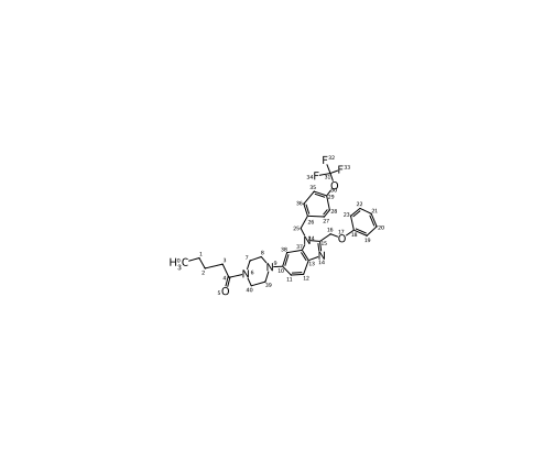 CCCCC(=O)N1CCN(c2ccc3nc(COc4ccccc4)n(Cc4ccc(OC(F)(F)F)cc4)c3c2)CC1